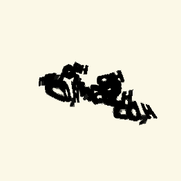 CCCCc1ccc(O)c(CN(CCN(CC(=O)O)Cc2cc(CCC(=O)O)ccc2O)CC(=O)O)c1